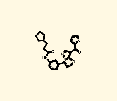 O=C(CCC1CCCC1)Nc1cccc(-c2ccnc3c(C(=O)c4cccs4)cnn23)c1